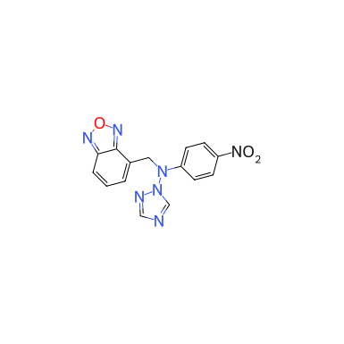 O=[N+]([O-])c1ccc(N(Cc2cccc3nonc23)n2cncn2)cc1